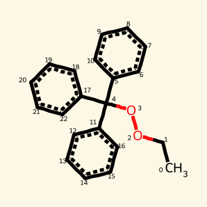 CCOOC(c1ccccc1)(c1ccccc1)c1ccccc1